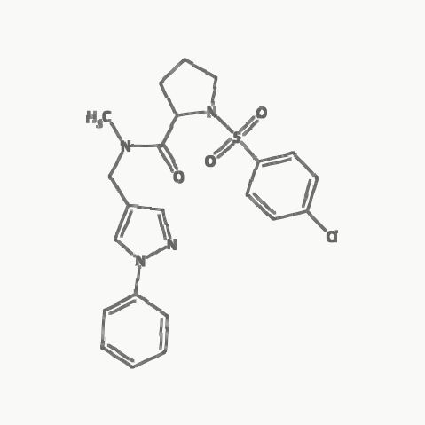 CN(Cc1cnn(-c2ccccc2)c1)C(=O)C1CCCN1S(=O)(=O)c1ccc(Cl)cc1